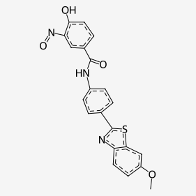 COc1ccc2nc(-c3ccc(NC(=O)c4ccc(O)c(N=O)c4)cc3)sc2c1